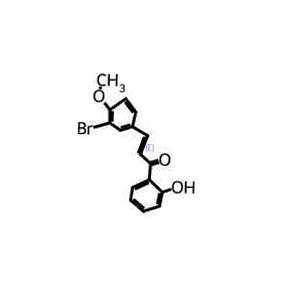 COc1ccc(/C=C/C(=O)c2ccccc2O)cc1Br